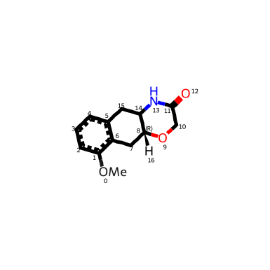 COc1cccc2c1C[C@H]1OCC(=O)NC1C2